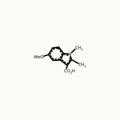 COc1ccc2c(c1)c(C(=O)O)c(C)n2C